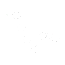 Brc1cccc(-c2ccc(-c3ccc4c5ccccc5n(-c5ccc6oc7ccccc7c6c5)c4c3)cc2)c1